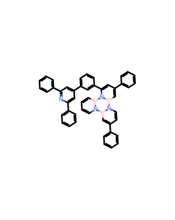 C1=CB2N(C=C1)B1C=C(c3ccccc3)C=CN1B1C=C(c3ccccc3)C=C(c3cccc(-c4cc(-c5ccccc5)nc(-c5ccccc5)c4)c3)N21